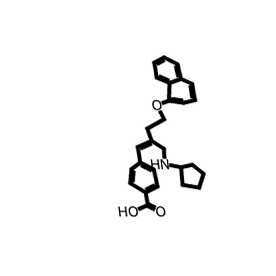 O=C(O)c1ccc(/C=C(/CCOc2cccc3ccccc23)CNC2CCCC2)cc1